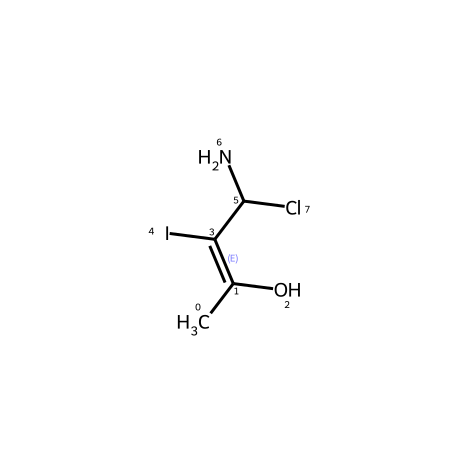 C/C(O)=C(\I)C(N)Cl